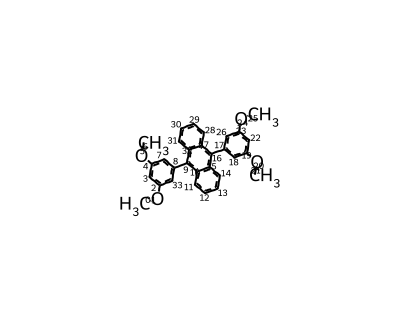 COc1cc(OC)cc(-c2c3ccccc3c(-c3cc(OC)cc(OC)c3)c3ccccc23)c1